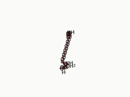 CCCN(OCCNC(=O)OC1CCC1)C(O)C1=Cc2sc(CC3CN(CCOCCOCCOCCOCCOCCOCCOCCOCCOCCOCCC(=O)Oc4c(F)c(F)c(S(=O)(=O)O)c(F)c4F)C3)cc2N=C(N)C1